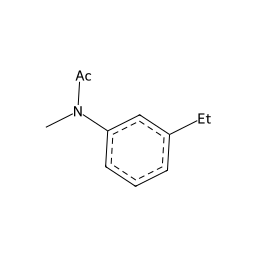 CCc1cccc(N(C)C(C)=O)c1